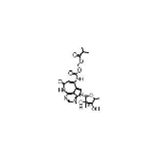 CC(C)C(=O)OCOC(=O)NC1=CC(=O)Nc2ncnc3c2c1cn3[C@@H]1OC(C)[C@@H](O)C1(C)O